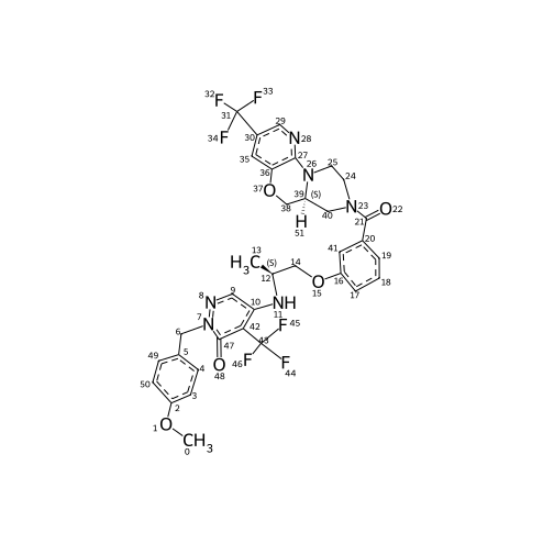 COc1ccc(Cn2ncc(N[C@@H](C)COc3cccc(C(=O)N4CCN5c6ncc(C(F)(F)F)cc6OC[C@@H]5C4)c3)c(C(F)(F)F)c2=O)cc1